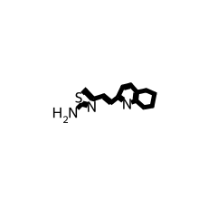 Nc1nc(C=Cc2ccc3c(n2)CCCC3)cs1